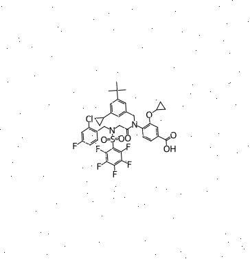 CC(C)(C)c1cc(CN(C(=O)CN(Cc2ccc(F)cc2Cl)S(=O)(=O)c2c(F)c(F)c(F)c(F)c2F)c2ccc(C(=O)O)cc2OC2CC2)cc(C2CC2)c1